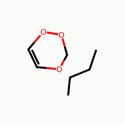 C1=COOCO1.CCCC